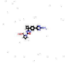 Nc1ncc(-c2ccc(C3(c4noc(N5CCC[C@H]5CO)n4)CCC3)cc2)cn1